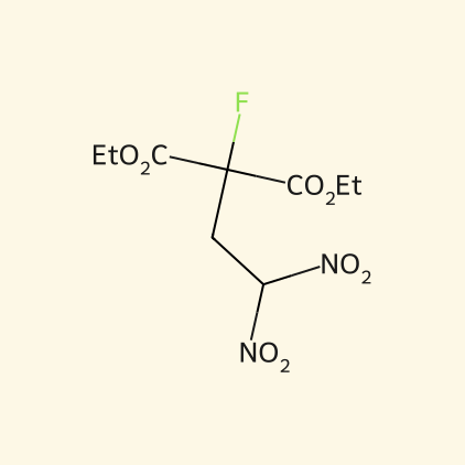 CCOC(=O)C(F)(CC([N+](=O)[O-])[N+](=O)[O-])C(=O)OCC